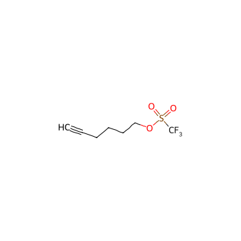 C#CCCCCOS(=O)(=O)C(F)(F)F